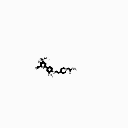 Cc1cc(-c2cc3c(nnn3C)c(C#N)n2)ccc1OCCC1CCN(CC(N)=O)CC1